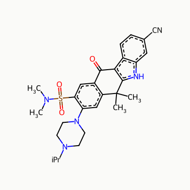 CC(C)N1CCN(c2cc3c(cc2S(=O)(=O)N(C)C)C(=O)c2c([nH]c4cc(C#N)ccc24)C3(C)C)CC1